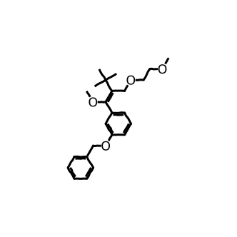 COCCOCC(=C(OC)c1cccc(OCc2ccccc2)c1)C(C)(C)C